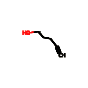 C#CCC[CH]O